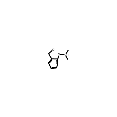 C[SiH](C)Oc1ccccc1CCl